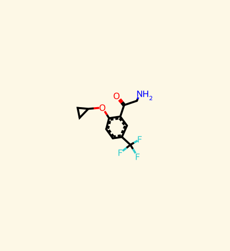 NCC(=O)c1cc(C(F)(F)F)ccc1OC1CC1